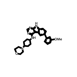 COc1cccc(-c2ccc3[nH]c4ncnc(NC5CCC(N6CCOCC6)CC5)c4c3c2)c1